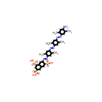 Cc1cc(N=Nc2cc(C)c(N=Nc3cc(C)c(N=Nc4cc5c(S(=O)(=O)O)cc(S(=O)(=O)O)cc5cc4S(=O)(=O)O)cc3C)cc2C)c(C)cc1N